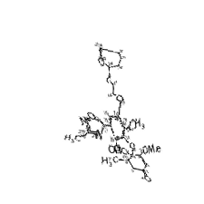 COC1=CC(=O)C[C@@H](C)[C@]1(C=O)Oc1c(C)c(OCCOC2CCCCO2)cc(-c2nc(C)no2)c1Cl